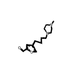 CN1CCN(CCCCc2coc(C=O)c2)CC1